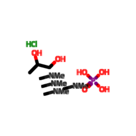 CC(O)CO.CNC.CNC.CNC.CNC.Cl.O=P(O)(O)O